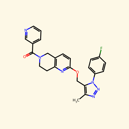 Cc1nnn(-c2ccc(F)cc2)c1COc1ccc2c(n1)CCN(C(=O)c1cccnc1)C2